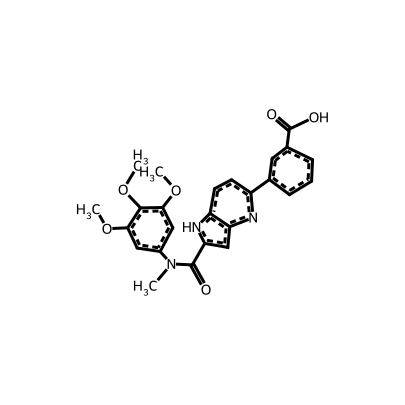 COc1cc(N(C)C(=O)c2cc3nc(-c4cccc(C(=O)O)c4)ccc3[nH]2)cc(OC)c1OC